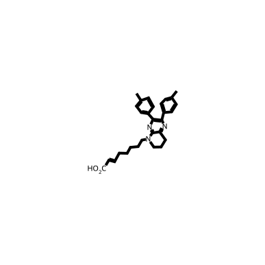 Cc1ccc(-c2nc3c(nc2-c2ccc(C)cc2)N(CCCCCC=CC(=O)O)CCC3)cc1